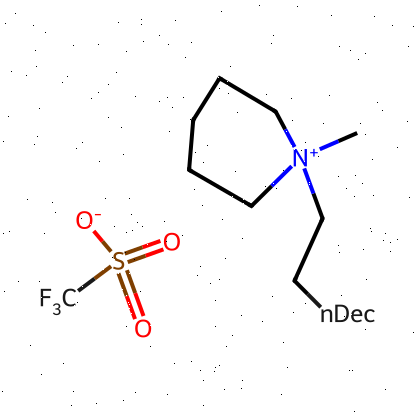 CCCCCCCCCCCC[N+]1(C)CCCCC1.O=S(=O)([O-])C(F)(F)F